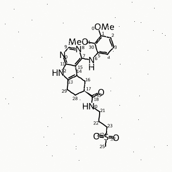 COc1cccc(Nc2ncnc3[nH]c4c(c23)C[C@@H](C(=O)NCCCS(C)(=O)=O)CC4)c1OC